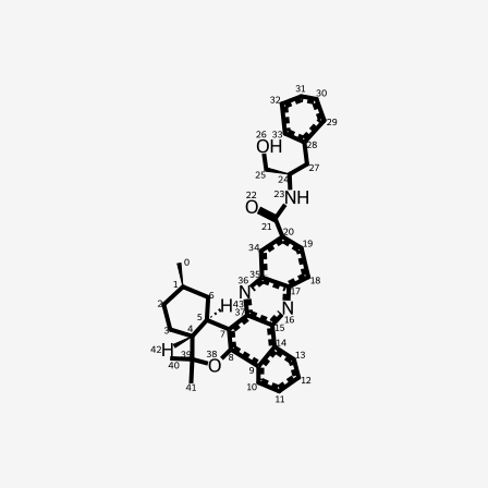 C[C@@H]1CC[C@@H]2[C@@H](C1)c1c(c3ccccc3c3nc4ccc(C(=O)N[C@@H](CO)Cc5ccccc5)cc4nc13)OC2(C)C